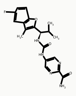 Cc1c([C@H](NC(=O)Nc2cnc(C(N)=O)nc2)C(C)C)oc2ccc(F)cc12